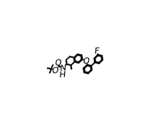 CC1c2cc(Oc3ccccc3-c3cccc(F)c3)ccc2CCC1NC(=O)OC(C)(C)C